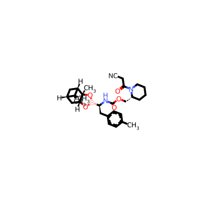 Cc1ccc(C[C@H](NC(=O)OC[C@H]2CCCCN2C(=O)CC#N)B2O[C@@H]3C[C@@H]4C[C@@H](C4(C)C)[C@]3(C)O2)cc1